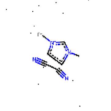 CC[n+]1ccn(C)c1.N#CC#N